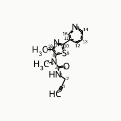 C#CCNC(=O)N(C)c1sc(-c2cccnc2)nc1C